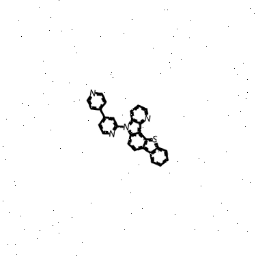 c1ccc2c(c1)sc1c2ccc2c1c1ncccc1n2-c1cc(-c2ccncc2)ccn1